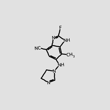 Cc1c(NN2C=NCC2)cc(C#N)c2nc(F)[nH]c12